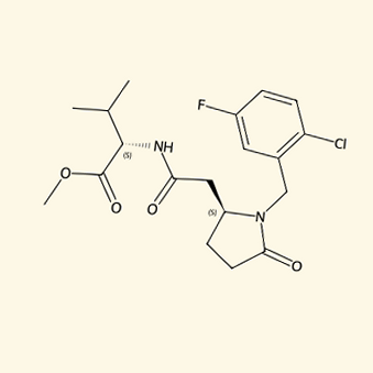 COC(=O)[C@@H](NC(=O)C[C@@H]1CCC(=O)N1Cc1cc(F)ccc1Cl)C(C)C